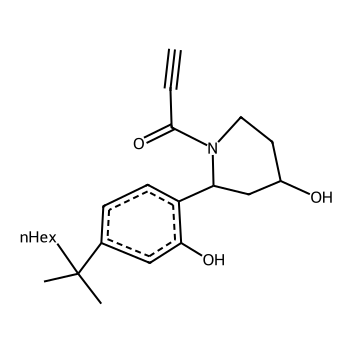 C#CC(=O)N1CCC(O)CC1c1ccc(C(C)(C)CCCCCC)cc1O